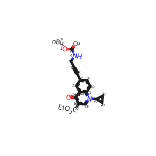 CCCCOC(=O)NCC#Cc1ccc2c(c1)c(=O)c(C(=O)OCC)cn2C1CC1